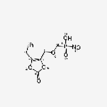 CC(C)Cc1oc(=O)oc1COCP(=O)(O)N=O